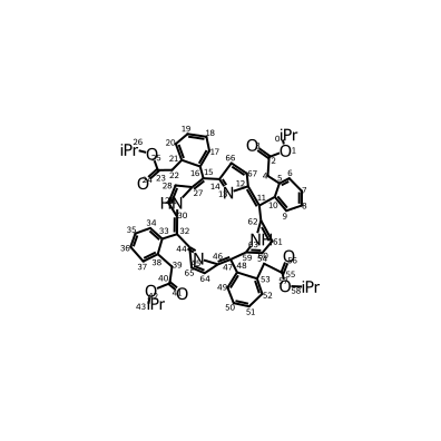 CC(C)OC(=O)Cc1ccccc1-c1c2nc(c(-c3ccccc3CC(=O)OC(C)C)c3ccc([nH]3)c(-c3ccccc3CC(=O)OC(C)C)c3nc(c(-c4ccccc4CC(=O)OC(C)C)c4ccc1[nH]4)C=C3)C=C2